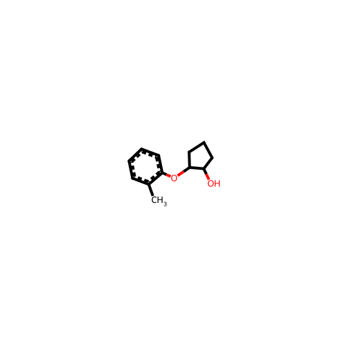 Cc1ccccc1OC1CCCC1O